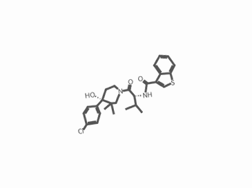 CC(C)[C@@H](NC(=O)c1csc2ccccc12)C(=O)N1CC[C@](O)(c2ccc(Cl)cc2)C(C)(C)C1